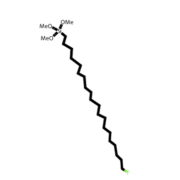 CO[Si](CCCCCCCCCCCCCCCCCCCCF)(OC)OC